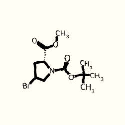 COC(=O)[C@H]1CC(Br)CN1C(=O)OC(C)(C)C